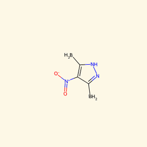 Bc1n[nH]c(B)c1[N+](=O)[O-]